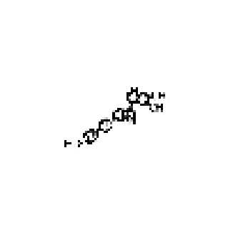 Cc1cc2nccc(-c3cnn4cc(N5CCC(N6CCN(C)CC6)CC5)ccc34)c2cc1C